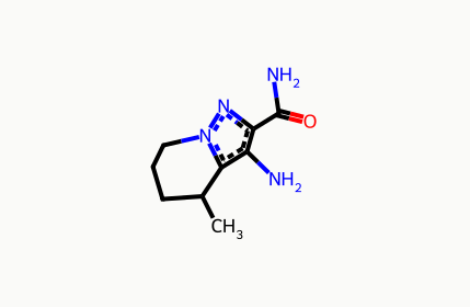 CC1CCCn2nc(C(N)=O)c(N)c21